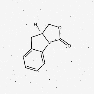 O=C1OC[C@@H]2Cc3ccccc3N12